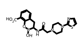 O=C(CN1CCN(c2nccs2)CC1)NC1Cc2cccc(C(=O)O)c2OB1O